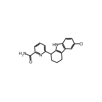 NC(=O)c1cccc(C2CCCc3c2[nH]c2ccc(Cl)cc32)n1